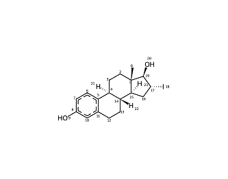 C[C@]12CC[C@@H]3c4ccc(O)cc4CC[C@H]3[C@@H]1C[C@@H](I)[C@@H]2O